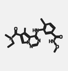 CCN(C)C(=O)c1cn2ncnc(Nc3cc(C(=O)NOC)ccc3C)c2c1C